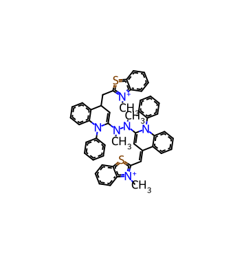 CN(C1=C/C(=C\c2sc3ccccc3[n+]2C)c2ccccc2N1c1ccccc1)N(C)C1=CC(Cc2sc3ccccc3[n+]2C)c2ccccc2N1c1ccccc1